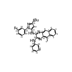 Cc1c2ccccc2cc2nc(Nc3cc(C(C)(C)C)nn3-c3cccc(F)c3)c(Nc3cccnc3)nc12